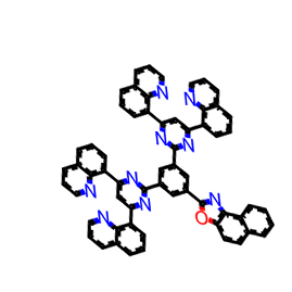 c1cnc2c(-c3cc(-c4cccc5cccnc45)nc(-c4cc(-c5nc(-c6cccc7cccnc67)cc(-c6cccc7cccnc67)n5)cc(-c5nc6c(ccc7ccccc76)o5)c4)n3)cccc2c1